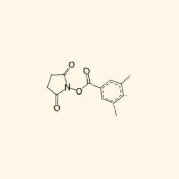 Cc1[c]c(C)cc(C(=O)ON2C(=O)CCC2=O)c1